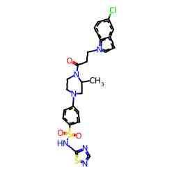 CC1CN(c2ccc(S(=O)(=O)Nc3ncns3)cc2)CCN1C(=O)CCn1ccc2cc(Cl)ccc21